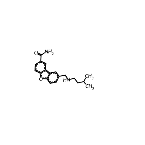 CC(C)CCNCc1ccc2oc3ccc(C(N)=O)cc3c2c1